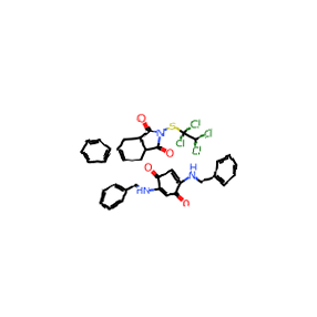 O=C1C2CC=CCC2C(=O)N1SC(Cl)(Cl)C(Cl)Cl.O=C1C=C(NCc2ccccc2)C(=O)C=C1NCc1ccccc1.c1ccccc1